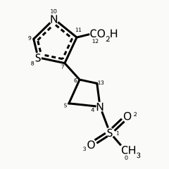 CS(=O)(=O)N1CC(c2scnc2C(=O)O)C1